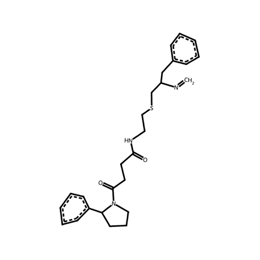 C=NC(CSCCNC(=O)CCC(=O)N1CCCC1c1ccccc1)Cc1ccccc1